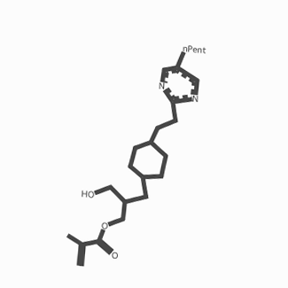 C=C(C)C(=O)OCC(CO)CC1CCC(CCc2ncc(CCCCC)cn2)CC1